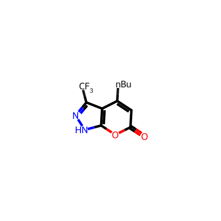 CCCCc1cc(=O)oc2[nH]nc(C(F)(F)F)c12